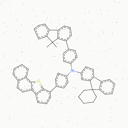 CC1(C)c2ccccc2-c2cccc(-c3ccc(N(c4ccc(-c5cccc6c5sc5c7ccccc7ccc65)cc4)c4ccc5c(c4)C4(CCCCC4)c4ccccc4-5)cc3)c21